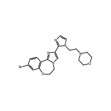 Brc1ccc2c(c1)OCCn1cc(-c3nccn3CCN3CCOCC3)nc1-2